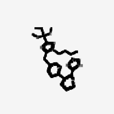 CCCCn1nc(C(CC)(OC)OC)nc1Cc1ccc(-c2ccccc2-c2nnn[nH]2)nc1